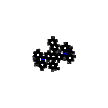 Cc1cccc(-c2c3ccc(N4c5ccccc5[Si](C)(C)c5ccccc54)cc3c(-c3ccc4ccccc4c3)c3ccc(N4c5ccccc5[Si](C)(C)c5ccccc54)cc23)c1